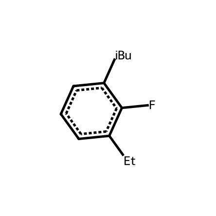 CCc1cccc(C(C)CC)c1F